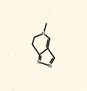 CN1C=C2C=NN=C2CC1